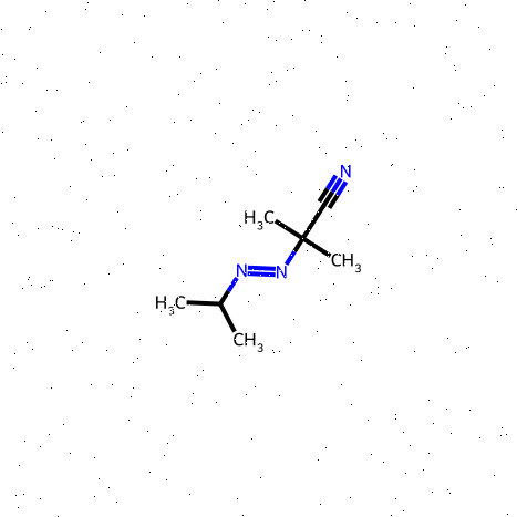 CC(C)N=NC(C)(C)C#N